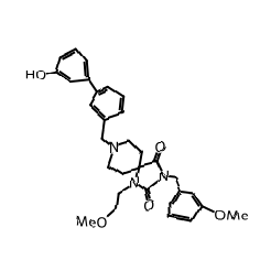 COCCN1C(=O)N(Cc2cccc(OC)c2)C(=O)C12CCN(Cc1cccc(-c3cccc(O)c3)c1)CC2